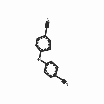 N#Cc1ccc([N]c2ccc(C#N)cc2)cc1